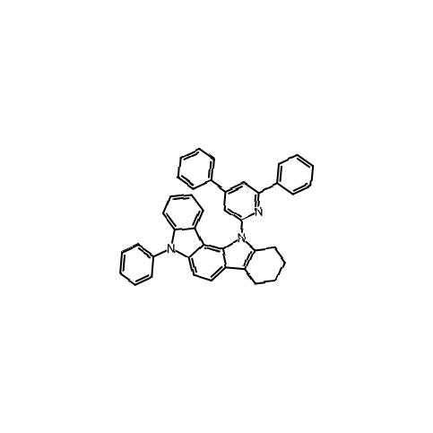 c1ccc(-c2cc(-c3ccccc3)nc(-n3c4c(c5ccc6c(c7ccccc7n6-c6ccccc6)c53)CCCC4)c2)cc1